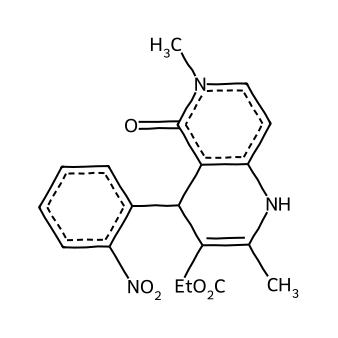 CCOC(=O)C1=C(C)Nc2ccn(C)c(=O)c2C1c1ccccc1[N+](=O)[O-]